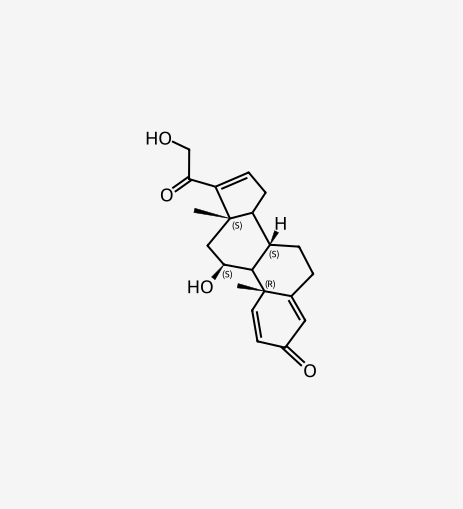 C[C@]12C=CC(=O)C=C1CC[C@@H]1C2[C@@H](O)C[C@]2(C)C(C(=O)CO)=CCC12